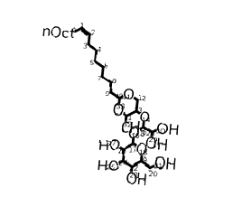 CCCCCCCC/C=C\CCCCCCCC1OCC(OC(OC2OC(CO)C(O)C(O)C2O)C(O)O)C(C)O1